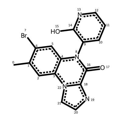 Cc1cc2c(cc1Br)n(-c1cccnc1O)c(=O)c1nccn12